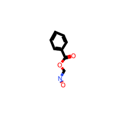 O=NCOC(=O)c1ccccc1